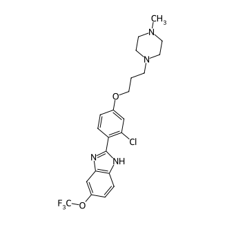 CN1CCN(CCCOc2ccc(-c3nc4cc(OC(F)(F)F)ccc4[nH]3)c(Cl)c2)CC1